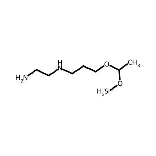 CC(O[SiH3])OCCCNCCN